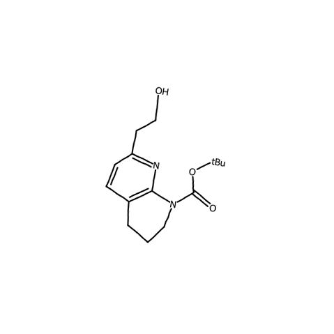 CC(C)(C)OC(=O)N1CCCc2ccc(CCO)nc21